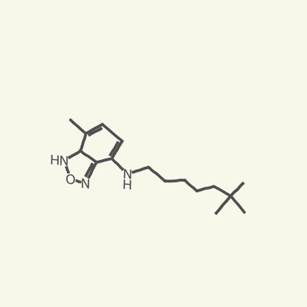 CC1=CC=C(NCCCCCC(C)(C)C)C2=NONC12